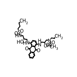 C=CCCS(=O)(=O)NCC(O)CNc1ccc(NCC(O)CN(CC=C)S(C)(=O)=O)c2c1C(=O)c1ccccc1C2=O